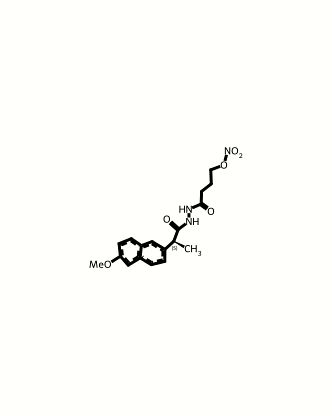 COc1ccc2cc([C@H](C)C(=O)NNC(=O)CCCO[N+](=O)[O-])ccc2c1